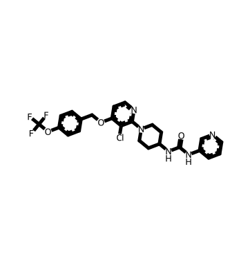 O=C(Nc1cccnc1)NC1CCN(c2nccc(OCc3ccc(OC(F)(F)F)cc3)c2Cl)CC1